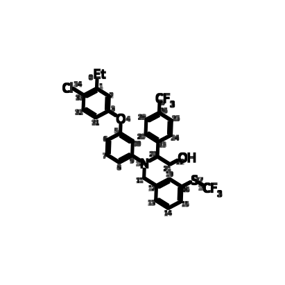 CCc1cc(Oc2cccc(N(Cc3cccc(SC(F)(F)F)c3)C(CO)c3ccc(C(F)(F)F)cc3)c2)ccc1Cl